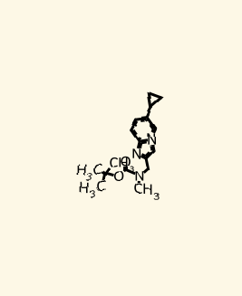 CN(Cc1cn2cc(C3CC3)ccc2n1)C(=O)OC(C)(C)C